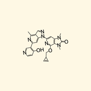 Cc1nc(-c2cnccc2O)cc2c1cnn2-c1cc2c(c(OCC3C=C3)n1)n(C)c(=O)n2C